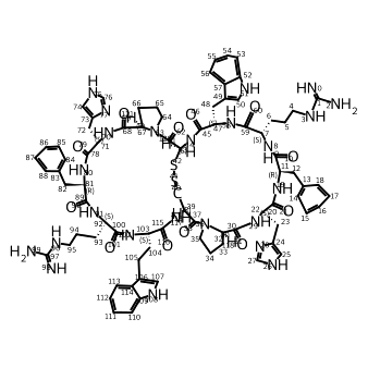 N=C(N)NCCC[C@@H]1NC(=O)[C@@H](Cc2ccccc2)NC(=O)[C@H](Cc2c[nH]cn2)NC(=O)[C@H]2CCCN2C(=O)[C@@H]2CSS[C@H](NC(=O)[C@H](Cc3c[nH]c4ccccc34)NC1=O)C(=O)N1CCC[C@@H]1C(=O)N[C@@H](Cc1c[nH]cn1)C(=O)N[C@H](Cc1ccccc1)C(=O)N[C@@H](CCCNC(=N)N)C(=O)N[C@@H](CCc1c[nH]c3ccccc13)C(=O)N2